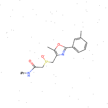 Cc1cccc(-c2nc(C[S+]([O-])CC(=O)NC(C)C)c(C)o2)c1